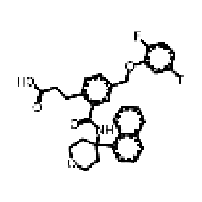 O=C(O)CCc1ccc(COc2cc(F)ccc2F)cc1C(=O)NC1(c2cccc3ccccc23)CCOCC1